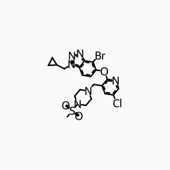 CS(=O)(=O)N1CCN(Cc2cc(Cl)cnc2Oc2ccc3c(nnn3CC3CC3)c2Br)CC1